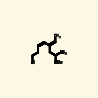 C/C=C(\C=C/CCCl)CC(N)OC